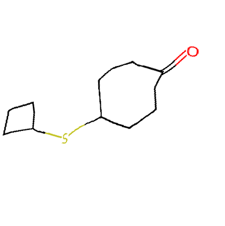 O=C1CCC(SC2CCC2)CC1